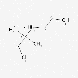 CC(C)(CCl)NCCO